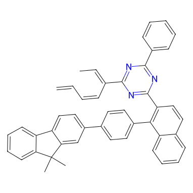 C=C/C=C\C(=C/C)c1nc(-c2ccccc2)nc(-c2ccc3ccccc3c2-c2ccc(-c3ccc4c(c3)C(C)(C)c3ccccc3-4)cc2)n1